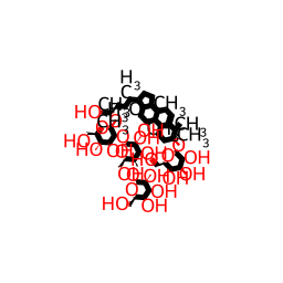 C[C@H](CC[C@@H](O[C@@H]1O[C@H](CO)[C@@H](O)[C@H](O)[C@H]1O[C@@H]1O[C@H](CO)[C@@H](CO[C@H]2O[C@H](CO)[C@@H](O)[C@H](O)[C@H]2O)[C@H](O)[C@H]1O)C(C)(C)O)C1CC[C@@]2(C)C3CC=C4C(CC[C@H](O[C@@H]5O[C@H](CO)[C@@H](O)[C@H](O)[C@H]5O)C4(C)C)[C@]3(C)[C@H](O)C[C@]12C